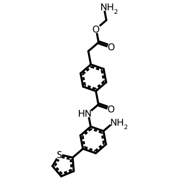 NCOC(=O)Cc1ccc(C(=O)Nc2cc(-c3cccs3)ccc2N)cc1